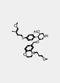 COCCCN1CCOc2ccc(CO[C@H]3CNC[C@@H](O)[C@@H]3c3ccc(SCC[C@@H](C)COC)cc3)cc21